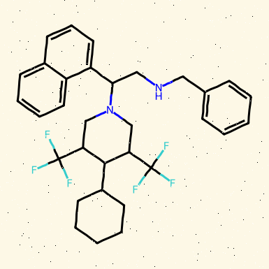 FC(F)(F)C1CN(C(CNCc2ccccc2)c2cccc3ccccc23)CC(C(F)(F)F)C1C1CCCCC1